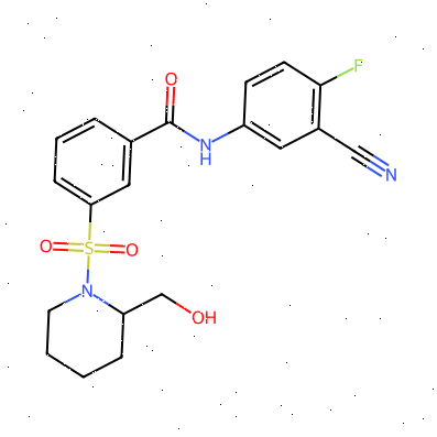 N#Cc1cc(NC(=O)c2cccc(S(=O)(=O)N3CCCCC3CO)c2)ccc1F